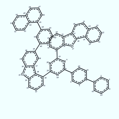 c1ccc(-c2ccc(-c3nc(-c4cccc5c4oc4c6ccccc6ccc54)nc(-c4cccc5oc6ccc(-c7cccc(-c8cccc9ccccc89)c7)cc6c45)n3)cc2)cc1